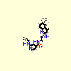 CC(C)CNc1cc(C(=O)NCCNc2ccc3cc(C(F)(F)F)ccc3n2)ccn1